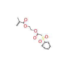 C=C(C)C(=O)OCCOC(=O)CS(=O)(=O)c1ccccc1